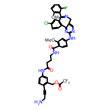 COc1cc(Nc2ncc3c(n2)-c2ccc(Cl)cc2C(c2c(F)cccc2OC)=NC3)ccc1C(=O)NCCCC(=O)Nc1ccc(C#CCN)c(COC(=O)C(F)(F)F)c1